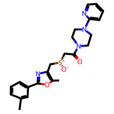 Cc1cccc(-c2nc(C[S+]([O-])CC(=O)N3CCN(c4ccccn4)CC3)c(C)o2)c1